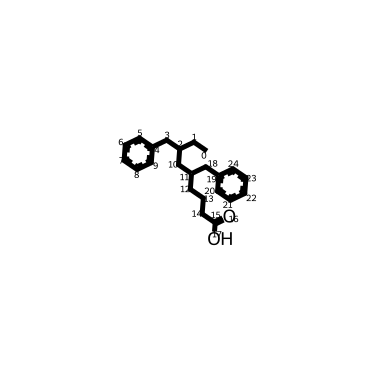 CCC(Cc1ccccc1)CC(CCCC(=O)O)Cc1ccccc1